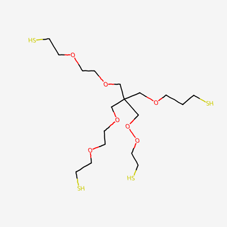 SCCCOCC(COCCOCCS)(COCCOCCS)COOCCS